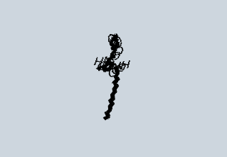 CCCCCCCCCCCCCCCCS(=O)(=O)Nc1ccc(OC)c(NC(=O)CC(=O)C2(C)COC(C)(C)OC2)c1